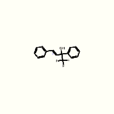 OC(/C=C/c1ccccc1)(c1ccccc1)C(F)(F)F